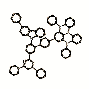 c1ccc(-c2ccc3c(c2)c2ccccc2n3-c2ccc(-c3nc(-c4ccccc4)cc(-c4ccccc4)n3)cc2-c2ccc(-c3cc4c5c(c3)N(c3ccccc3)c3ccccc3B5c3ccccc3N4c3ccccc3)cc2)cc1